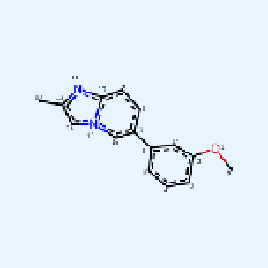 COc1cccc(-c2ccc3nc(C)cn3c2)c1